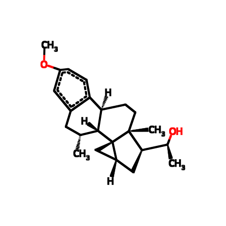 COc1ccc2c(c1)C[C@@H](C)[C@@H]1[C@@H]2CC[C@]2(C)[C@@H]([C@H](C)O)C[C@@H]3C[C@@]312